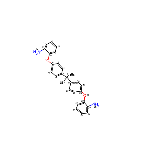 CCCCC(CC)(c1ccc(Oc2ccccc2N)cc1)c1ccc(Oc2ccccc2N)cc1